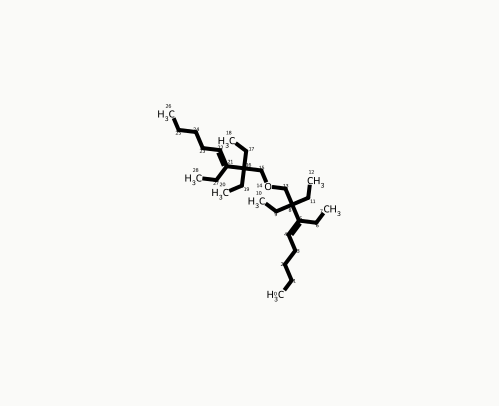 CCCC/C=C(\CC)C(CC)(CC)COCC(CC)(CC)/C(=C/CCCC)CC